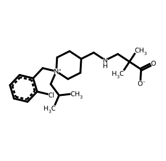 CC(C)C[N+]1(Cc2ccccc2Cl)CCC(CNCC(C)(C)C(=O)[O-])CC1